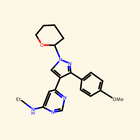 CCNc1cc(-c2cn(C3CCCCO3)nc2-c2ccc(OC)cc2)ncn1